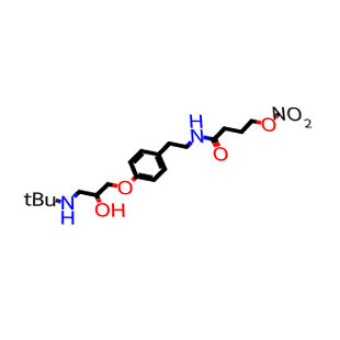 CC(C)(C)NCC(O)COc1ccc(CCNC(=O)CCCO[N+](=O)[O-])cc1